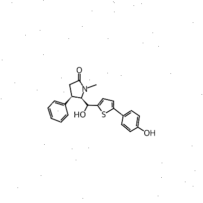 CN1C(=O)C[C@H](c2ccccc2)[C@@H]1C(O)c1ccc(-c2ccc(O)cc2)s1